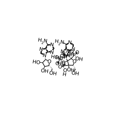 Nc1ncnc2c1ncn2[C@@H]1O[C@H](CO)[C@@H](O)[C@H]1O.Nc1ncnc2c1ncn2[C@]1(P(=O)(O)O)O[C@H](CO)[C@](O)(P(=O)(O)O)[C@]1(OP(=O)(O)O)P(=O)(O)O